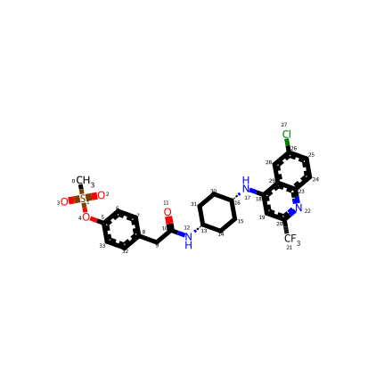 CS(=O)(=O)Oc1ccc(CC(=O)N[C@H]2CC[C@@H](Nc3cc(C(F)(F)F)nc4ccc(Cl)cc34)CC2)cc1